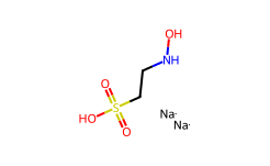 O=S(=O)(O)CCNO.[Na].[Na]